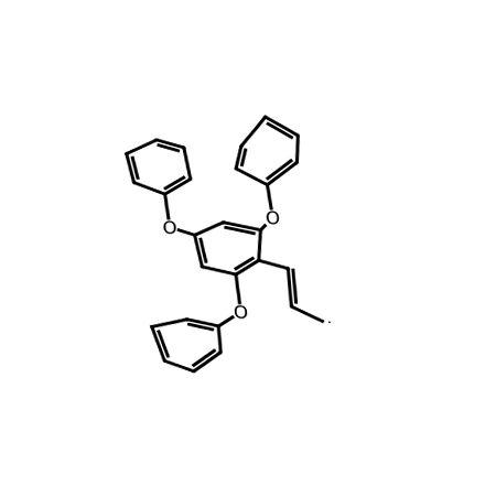 [CH2]C=Cc1c(Oc2ccccc2)cc(Oc2ccccc2)cc1Oc1ccccc1